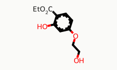 CCOC(=O)c1ccc(OCCO)cc1O